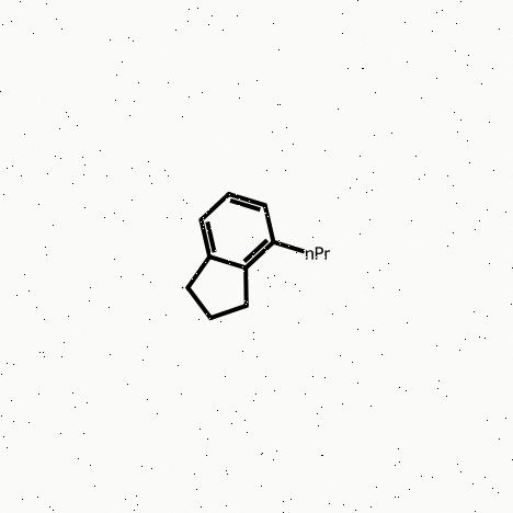 CCCc1cccc2c1CC[CH]2